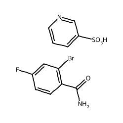 NC(=O)c1ccc(F)cc1Br.O=S(=O)(O)c1cccnc1